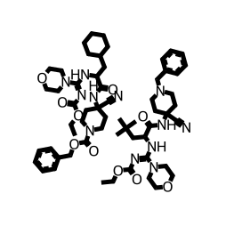 CCOC(=O)N=C(NC(CC(C)(C)C)C(=O)NC1(C#N)CCN(Cc2ccccc2)CC1)N1CCOCC1.CCOC(=O)N=C(NC(CC1CCCCC1)C(=O)NC1(C#N)CCN(C(=O)OCc2ccccc2)CC1)N1CCOCC1